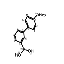 CCCCCCc1ccc(-c2cccc(B(O)O)c2)cc1